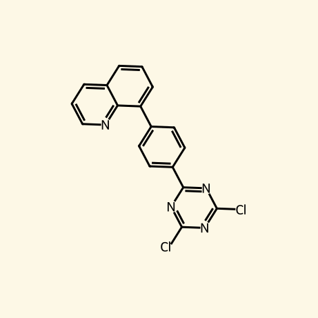 Clc1nc(Cl)nc(-c2ccc(-c3cccc4cccnc34)cc2)n1